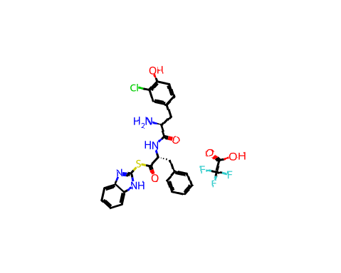 N[C@@H](Cc1ccc(O)c(Cl)c1)C(=O)N[C@H](Cc1ccccc1)C(=O)Sc1nc2ccccc2[nH]1.O=C(O)C(F)(F)F